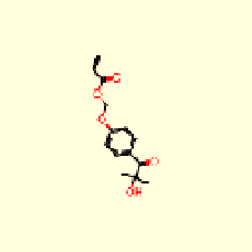 C=CC(=O)OCOc1ccc(C(=O)C(C)(C)O)cc1